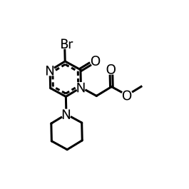 COC(=O)Cn1c(N2CCCCC2)cnc(Br)c1=O